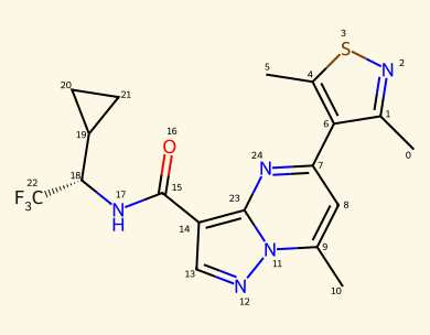 Cc1nsc(C)c1-c1cc(C)n2ncc(C(=O)N[C@@H](C3CC3)C(F)(F)F)c2n1